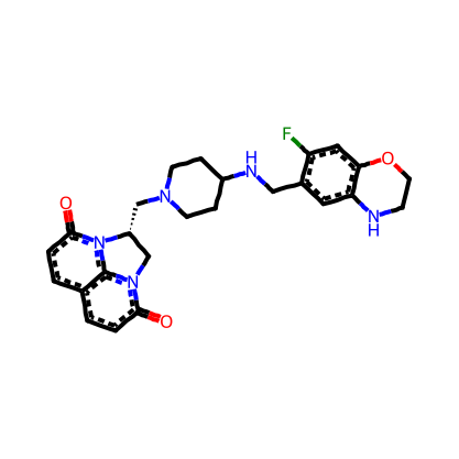 O=c1ccc2ccc(=O)n3c2n1C[C@H]3CN1CCC(NCc2cc3c(cc2F)OCCN3)CC1